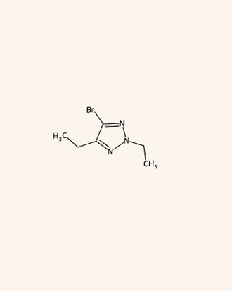 CCc1nn(CC)nc1Br